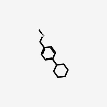 C[N]Cc1ccc(C2CCCCC2)cc1